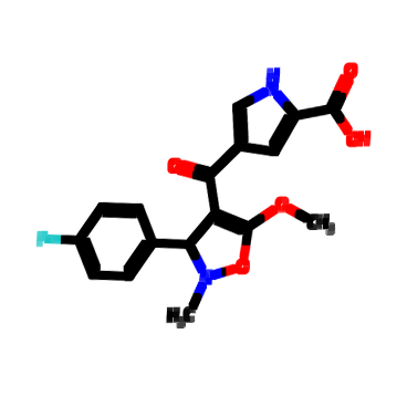 COC1=C(C(=O)c2c[nH]c(C(=O)O)c2)C(c2ccc(F)cc2)N(C)O1